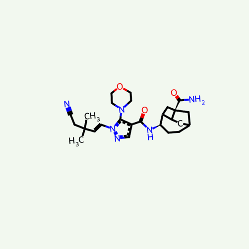 CC(C)(/C=C/n1ncc(C(=O)N[C@@H]2CCC3CC4C2C[C@]4(C(N)=O)C3)c1N1CCOCC1)CC#N